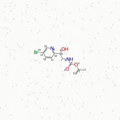 C=C(C)OC(=O)NCC(O)c1ccc(Br)cn1